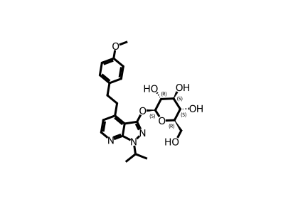 COc1ccc(CCc2ccnc3c2c(O[C@@H]2O[C@H](CO)[C@@H](O)[C@H](O)[C@H]2O)nn3C(C)C)cc1